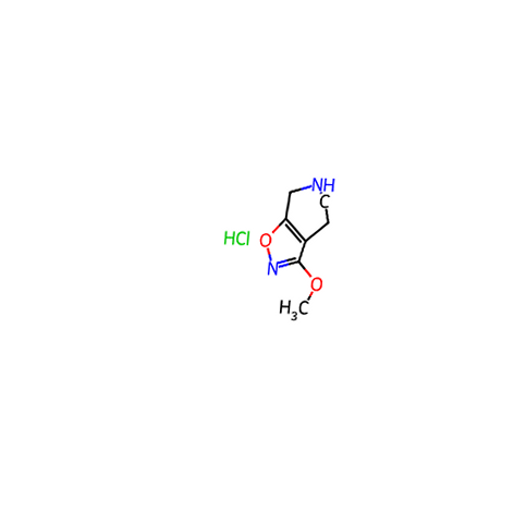 COc1noc2c1CCNC2.Cl